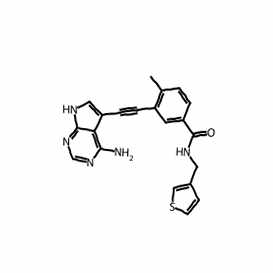 Cc1ccc(C(=O)NCc2ccsc2)cc1C#Cc1c[nH]c2ncnc(N)c12